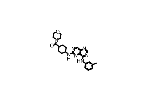 Cc1cccc(Nc2ncnc3cnc(NC4CCC(C(=O)N5CCOCC5)CC4)nc23)c1